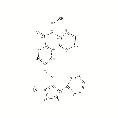 Cc1onc(-c2ccccc2)c1COc1ccc(C(=O)N(CC(F)(F)F)c2ccccc2)cn1